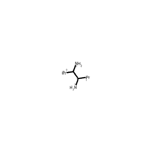 CC(C)[C](N)C(N)C(C)C